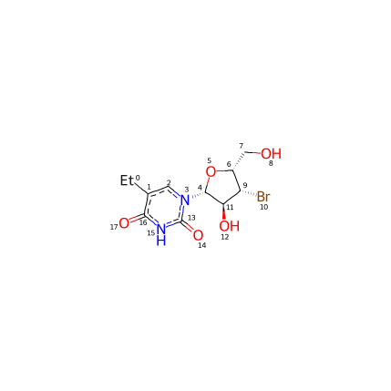 CCc1cn([C@@H]2O[C@H](CO)[C@H](Br)[C@H]2O)c(=O)[nH]c1=O